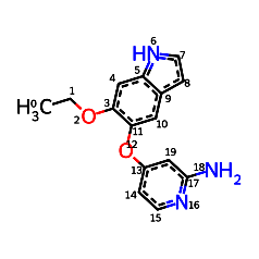 CCOc1cc2[nH]ccc2cc1Oc1ccnc(N)c1